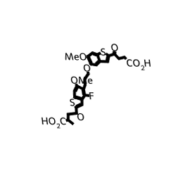 COc1cc2sc(C(=O)CCC(=O)O)cc2cc1OCCCc1c(OC)cc2sc(C(=O)CC(C)C(=O)O)cc2c1F